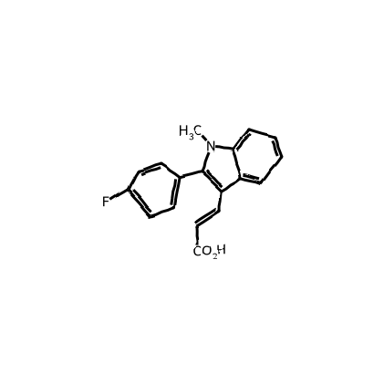 Cn1c(-c2ccc(F)cc2)c(/C=C/C(=O)O)c2ccccc21